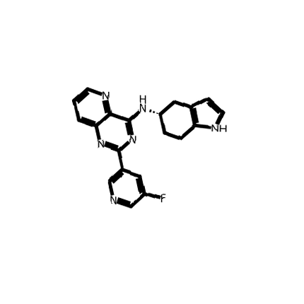 Fc1cncc(-c2nc(N[C@H]3CCc4[nH]ccc4C3)c3ncccc3n2)c1